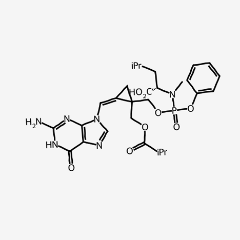 CC(C)C[C@@H](C(=O)O)N(C)P(=O)(OCC1(COC(=O)C(C)C)C/C1=C/n1cnc2c(=O)[nH]c(N)nc21)Oc1ccccc1